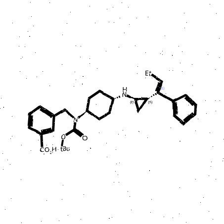 CC/C=C(/c1ccccc1)[C@@H]1C[C@H]1N[C@H]1CC[C@H](N(Cc2cccc(C(=O)O)c2)C(=O)OC(C)(C)C)CC1